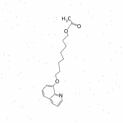 CC(=O)OCCCCCCCCOc1cccc2cccnc12